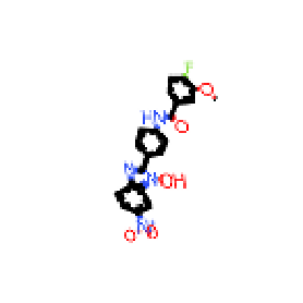 COc1cc(C(=O)Nc2ccc(-c3nc4ccc([N+](=O)[O-])cc4n3O)cc2)ccc1F